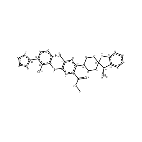 COC(=O)c1nc(Sc2cccc(-c3ncco3)c2Cl)c(N)nc1N1CCC2(CC1)Oc1ccccc1[C@H]2N